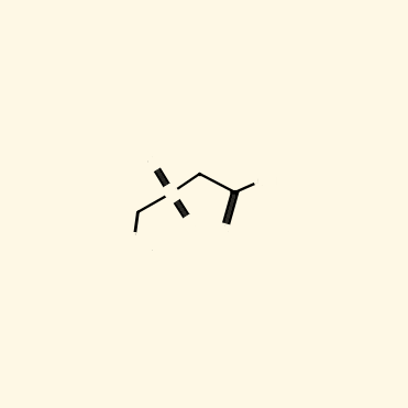 [CH2]CS(=O)(=O)CC(=O)O